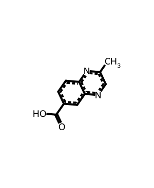 Cc1cnc2cc(C(=O)O)ccc2n1